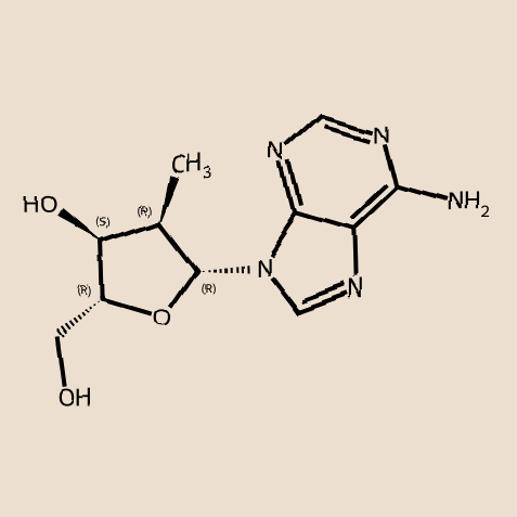 C[C@@H]1[C@H](O)[C@@H](CO)O[C@H]1n1cnc2c(N)ncnc21